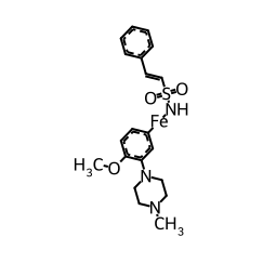 COc1cc[c]([Fe][NH]S(=O)(=O)C=Cc2ccccc2)cc1N1CCN(C)CC1